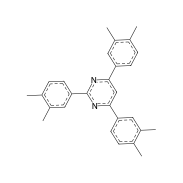 Cc1ccc(-c2cc(-c3ccc(C)c(C)c3)nc(-c3ccc(C)c(C)c3)n2)cc1C